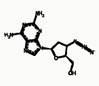 [N-]=[N+]=NC1C[C@H](n2cnc3c(N)nc(N)nc32)O[C@@H]1CO